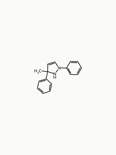 CC1(c2ccccc2)C=CN(c2ccccc2)N1